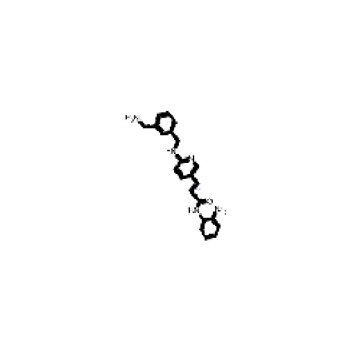 NCc1cccc(CNc2ccc(/C=C/C(=O)Nc3ccccc3N)cn2)c1